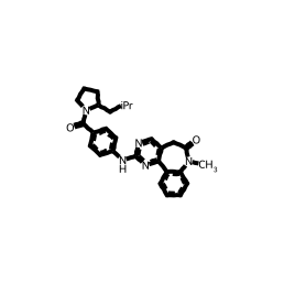 CC(C)CC1CCCN1C(=O)c1ccc(Nc2ncc3c(n2)-c2ccccc2N(C)C(=O)C3)cc1